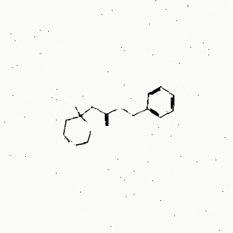 O=C(CC1(C(F)(F)F)CCOCO1)NCc1ccccc1